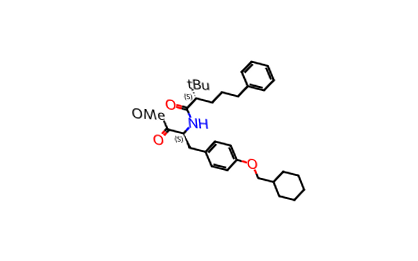 COC(=O)[C@H](Cc1ccc(OCC2CCCCC2)cc1)NC(=O)[C@@H](CCCc1ccccc1)C(C)(C)C